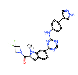 Cn1c(C(=O)N2CC(F)(F)C2)cc2ccc(-c3ncnc(Nc4ccc(-c5cn[nH]c5)cc4)n3)cc21